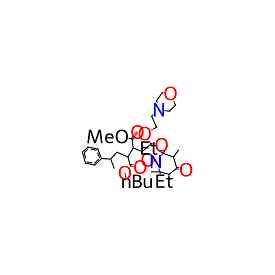 CCCCOC(=O)C(CC(C)c1ccccc1)C(C(=O)OC)C(ON1C(C)(CC)CC(=O)C(C)C1(C)CC)C(=O)OCCN1CCOCC1